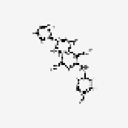 O=C1C=C(Nc2ccc(F)cc2)C(=O)c2ncc(-c3ccco3)nc21